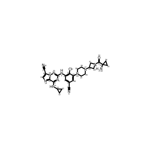 N#Cc1cc(Nc2nc(NC3CC3)c3ncc(C#N)n3n2)c(Cl)c(N2CCN(C3CN(C(=O)C4(N)CC4)C3)CC2)c1